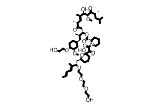 C/C=C/C=C(\C)[C@H](C[C@@H]1CC[C@@H](C)[C@](O)(C(=O)C(=O)N2CCCC[C@H]2C(=O)O[C@@H](CC(=O)[C@H](C)/C=C(\C)[C@@H](O)[C@@H](OC)C(=O)[C@H](C)CC(C)C)[C@H](C)C[C@@H]2CC[C@@H](OCCO)[C@H](OC)C2)O1)OCCOCCOCCO